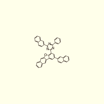 c1ccc(-c2nc(-c3ccc4ccccc4c3)nc(-c3cc(-c4ccc5ccccc5c4)cc4c3oc3cc5ccccc5cc34)n2)cc1